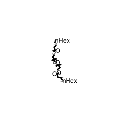 CCCCCCSCCC(=O)OCCC(C)(C)OOC(C)(C)CCOC(=O)CCSCCCCCC